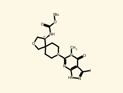 Cn1c(N2CCC3(CC2)COC[C@H]3NC(=O)OC(C)(C)C)nc2[nH]nc(I)c2c1=O